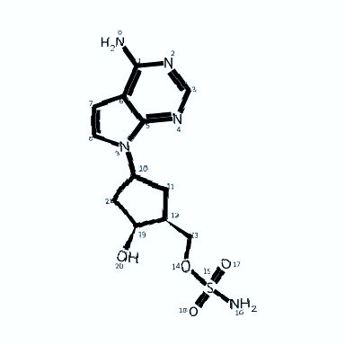 Nc1ncnc2c1ccn2C1C[C@@H](COS(N)(=O)=O)[C@@H](O)C1